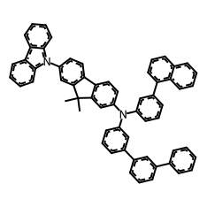 CC1(C)c2cc(N(c3cccc(-c4cccc(-c5ccccc5)c4)c3)c3cccc(-c4cccc5ccccc45)c3)ccc2-c2ccc(-n3c4ccccc4c4ccccc43)cc21